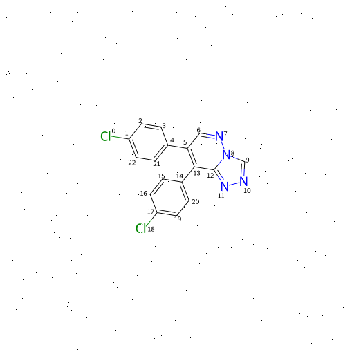 Clc1ccc(-c2cnn3cnnc3c2-c2ccc(Cl)cc2)cc1